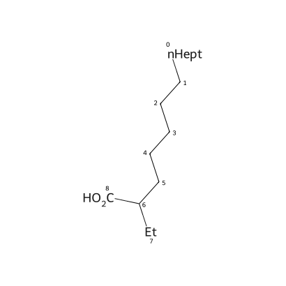 CCCC[CH]CCCCCCCC(CC)C(=O)O